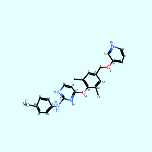 Cc1cc(COc2cccnc2)cc(C)c1Oc1ccnc(Nc2ccc(C#N)cc2)n1